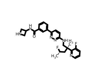 C[C@H](F)C[C@@](C)(CNc1ccc(-c2cccc(C(=O)NC3CNC3)c2)nn1)c1ncccc1F